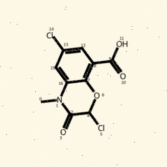 CN1C(=O)C(Cl)Oc2c(C(=O)O)cc(Cl)cc21